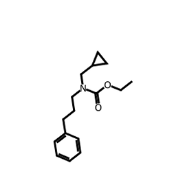 CCOC(=O)N(CCCc1ccccc1)CC1CC1